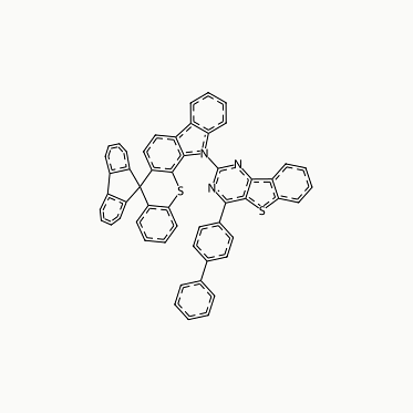 c1ccc(-c2ccc(-c3nc(-n4c5ccccc5c5ccc6c(c54)Sc4ccccc4C64c5ccccc5-c5ccccc54)nc4c3sc3ccccc34)cc2)cc1